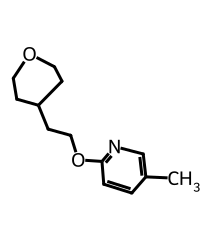 Cc1ccc(OCCC2CCOCC2)nc1